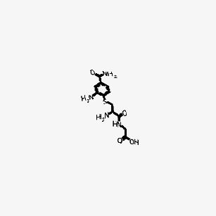 NC(=O)c1ccc(SCC(N)C(=O)NCC(=O)O)c(N)c1